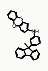 CC1(c2cccc(Nc3ccc4c(c3)Sc3ccccc3O4)c2)c2ccccc2-c2ccccc21